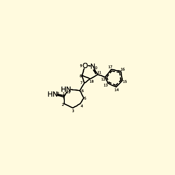 N=C1CCCCC(C2C3ON=C(c4ccccc4)C32)N1